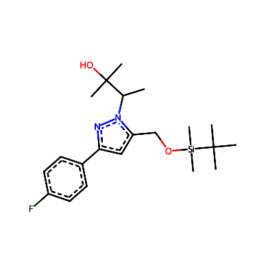 CC(n1nc(-c2ccc(F)cc2)cc1CO[Si](C)(C)C(C)(C)C)C(C)(C)O